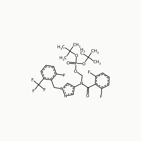 CC(C)(C)OP(=O)(OCN(C(=O)c1c(F)cccc1F)c1cnn(Cc2c(F)cccc2C(F)(F)F)c1)OC(C)(C)C